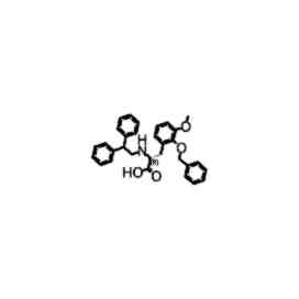 COc1cccc(C[C@@H](NCC(c2ccccc2)c2ccccc2)C(=O)O)c1OCc1ccccc1